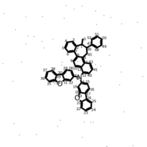 CC1c2ccccc2-c2ccc3c(N(c4ccc5c(c4)oc4ccccc45)c4ccc5c(c4)oc4ccccc45)cccc3c2CC1c1ccccc1